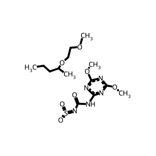 CCCC(C)OCCOC.COc1nc(NC(=O)N=S(=O)=O)nc(OC)n1